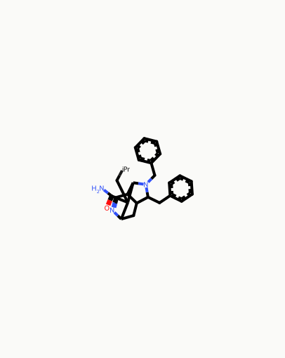 CC(C)CC1(C(N)=O)C2CC3C(C=N2)C1N(Cc1ccccc1)C3Cc1ccccc1